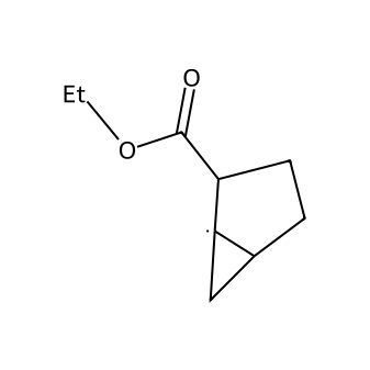 CCOC(=O)C1CCC2C[C]21